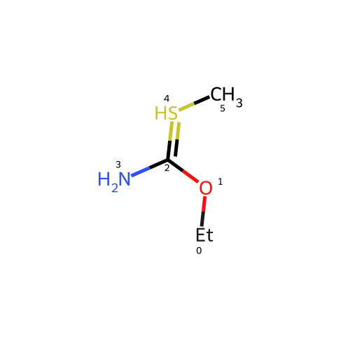 CCO/C(N)=[SH]\C